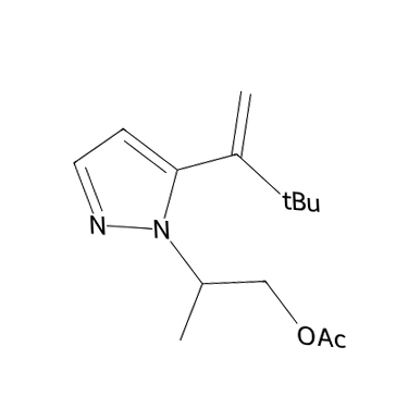 C=C(c1ccnn1C(C)COC(C)=O)C(C)(C)C